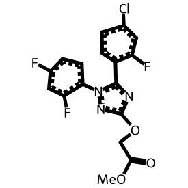 COC(=O)COc1nc(-c2ccc(Cl)cc2F)n(-c2ccc(F)cc2F)n1